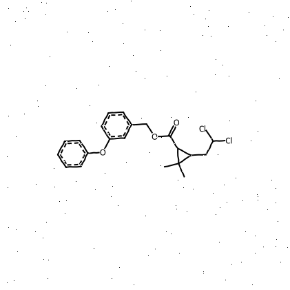 CC1(C)C(CC(Cl)Cl)C1C(=O)OCc1cccc(Oc2ccccc2)c1